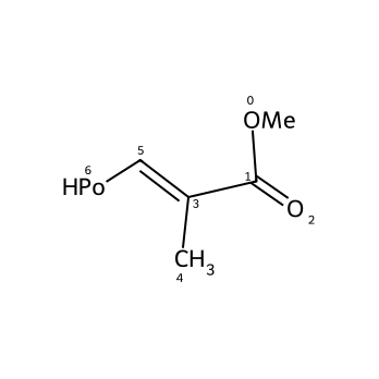 COC(=O)C(C)=[CH][PoH]